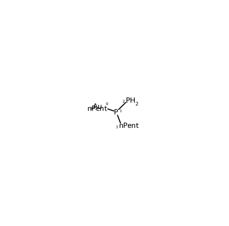 CCCCCP(P)CCCCC.[Au]